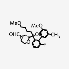 COCCCC[C@@](O)(c1cccc(F)c1-c1cc(C)cc(OC)c1)[C@H]1CN(C=O)CCO1